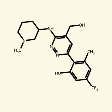 Cc1cc(C(F)(F)F)cc(O)c1-c1cc(CO)c(NC2CCCN(C)C2)nn1